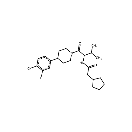 CC(C)[C@@H](NC(=O)CC1CCCC1)C(=O)N1CCC(c2ccc(Cl)c(F)c2)CC1